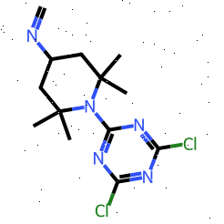 C=NC1CC(C)(C)N(c2nc(Cl)nc(Cl)n2)C(C)(C)C1